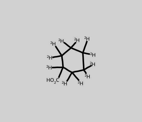 [2H]C1([2H])C([2H])([2H])C([2H])([2H])C([2H])(C(=O)O)C([2H])([2H])C1([2H])[2H]